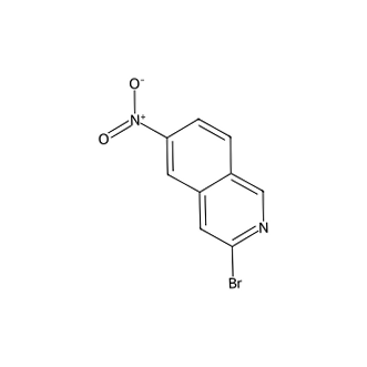 O=[N+]([O-])c1ccc2cnc(Br)cc2c1